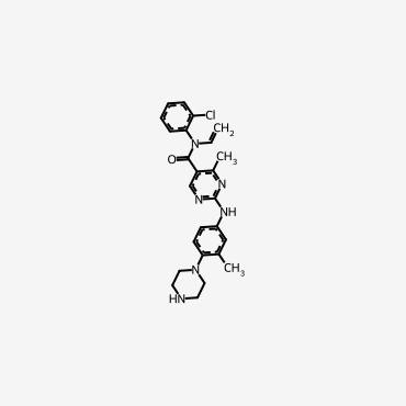 C=CN(C(=O)c1cnc(Nc2ccc(N3CCNCC3)c(C)c2)nc1C)c1ccccc1Cl